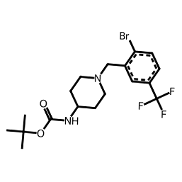 CC(C)(C)OC(=O)NC1CCN(Cc2cc(C(F)(F)F)ccc2Br)CC1